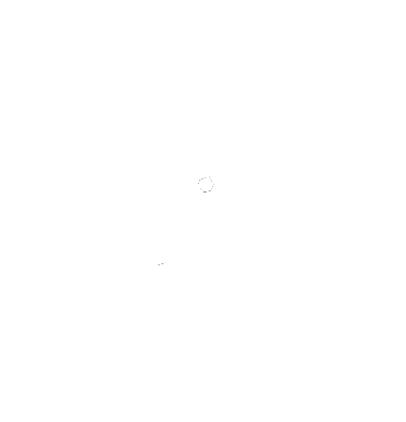 CCCCCc1ccc([C@H]2CC[C@H]([C@H]3CC[C@H](CCC=CF)CC3)CC2)cc1